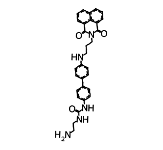 NCCNC(=O)Nc1ccc(-c2ccc(NCCCN3C(=O)c4cccc5cccc(c45)C3=O)cc2)cc1